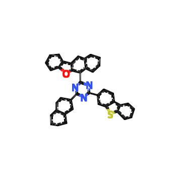 c1ccc2cc(-c3nc(-c4ccc5c(c4)sc4ccccc45)nc(-c4c5ccccc5cc5c4oc4ccccc45)n3)ccc2c1